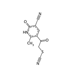 Cc1[nH]c(=O)c(C#N)cc1C(=O)CSC#N